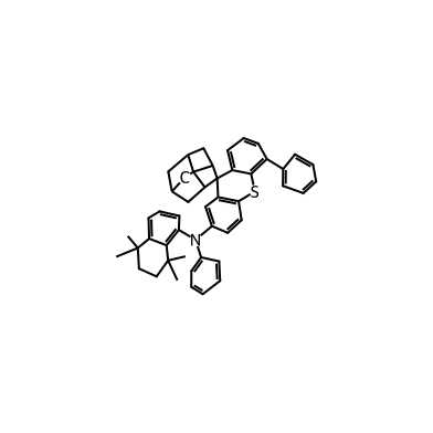 CC1(C)CCC(C)(C)c2c(N(c3ccccc3)c3ccc4c(c3)C3(c5cccc(-c6ccccc6)c5S4)C4CC5CC6CC3C64C5)cccc21